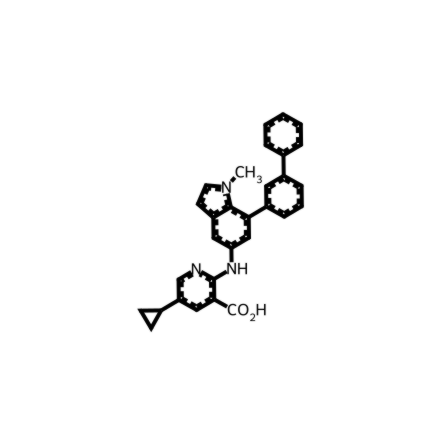 Cn1ccc2cc(Nc3ncc(C4CC4)cc3C(=O)O)cc(-c3cccc(-c4ccccc4)c3)c21